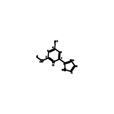 COc1cc(F)cc(-c2nccs2)n1